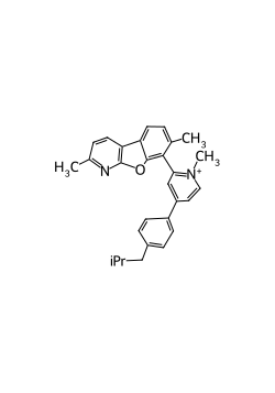 Cc1ccc2c(n1)oc1c(-c3cc(-c4ccc(CC(C)C)cc4)cc[n+]3C)c(C)ccc12